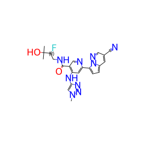 Cn1cc(Nc2cc(-c3ccc4cc(C#N)cnn34)ncc2C(=O)NC[C@@H](F)C(C)(C)O)nn1